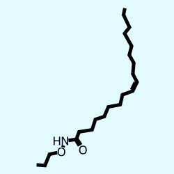 CCCCCCCC/C=C\CCCCCCCC(=O)NOCCC